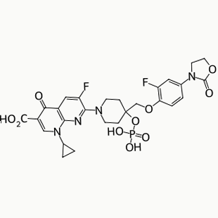 O=C(O)c1cn(C2CC2)c2nc(N3CCC(COc4ccc(N5CCOC5=O)cc4F)(OP(=O)(O)O)CC3)c(F)cc2c1=O